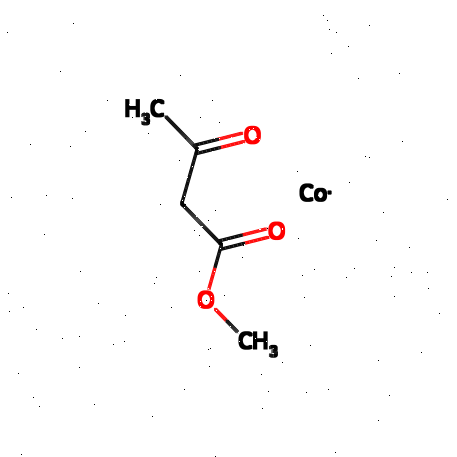 COC(=O)CC(C)=O.[Co]